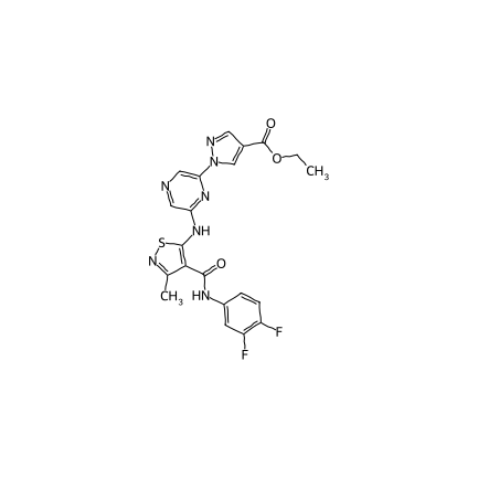 CCOC(=O)c1cnn(-c2cncc(Nc3snc(C)c3C(=O)Nc3ccc(F)c(F)c3)n2)c1